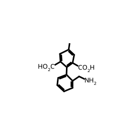 Cc1cc(C(=O)O)c(-c2ccccc2CN)c(C(=O)O)c1